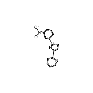 O=[N+]([O-])c1cccc(-n2ccc(-c3ccccn3)n2)c1